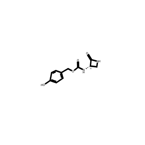 O=C(N[C@H]1CNC1=O)OCc1ccc(O)cc1